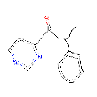 CC(C(=O)c1ccncn1)c1ccccc1